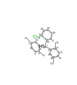 Cc1ccc(C)c([SiH](c2cc(C)ccc2C)c2ccccc2Cl)c1